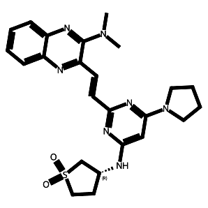 CN(C)c1nc2ccccc2nc1C=Cc1nc(N[C@@H]2CCS(=O)(=O)C2)cc(N2CCCC2)n1